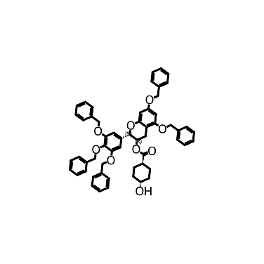 O=C(O[C@@H]1Cc2c(OCc3ccccc3)cc(OCc3ccccc3)cc2O[C@H]1c1cc(OCc2ccccc2)c(OCc2ccccc2)c(OCc2ccccc2)c1)[C@H]1CC[C@H](O)CC1